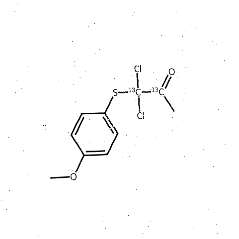 COc1ccc(S[13C](Cl)(Cl)[13C](C)=O)cc1